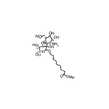 COC(=O)CCCCCCCCO[C@H]1O[C@H](CO)[C@@H](O)[C@H](O)[C@]1(O)[C@@H]1O[C@H](CO)[C@@H](O)[C@H](O)[C@@H]1N